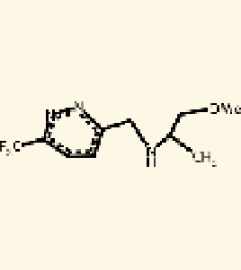 COCC(C)NCc1ccc(C(F)(F)F)nn1